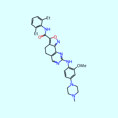 CCc1cccc(CC)c1NC(=O)c1onc2c1CCc1cnc(Nc3ccc(N4CCN(C)CC4)cc3OC)nc1-2